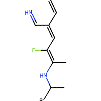 C=C/C(C=N)=C/C(F)=C(\C)NC(C)C(C)C